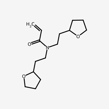 C=CC(=O)N(CCC1CCCO1)CCC1CCCO1